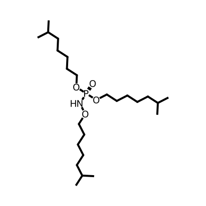 CC(C)CCCCCONP(=O)(OCCCCCC(C)C)OCCCCCC(C)C